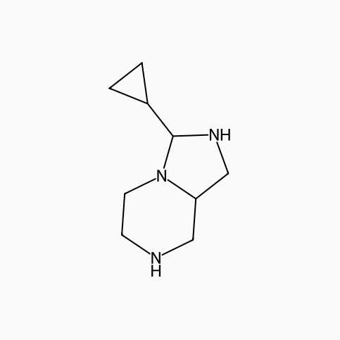 C1CN2C(CN1)CNC2C1CC1